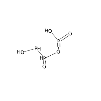 O=[PH](O)O[PH](=O)PO